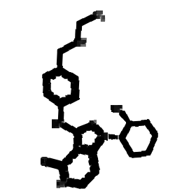 N#C[C@H]1CCCC[C@@H]1n1nc(Nc2ccc(CNCC(F)(F)F)cc2)c2c(=O)[nH]ccc21